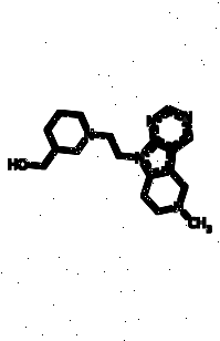 CN1CCc2c(c3cncnc3n2CCN2CCCC(CO)C2)C1